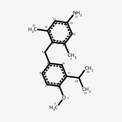 COc1ccc(Cc2c(C)cc(N)cc2C)cc1C(C)C